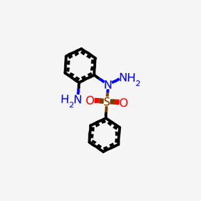 Nc1ccccc1N(N)S(=O)(=O)c1ccccc1